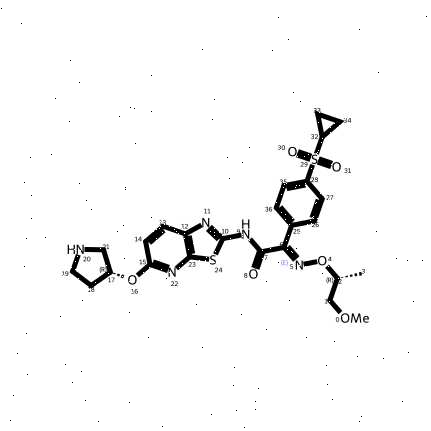 COC[C@@H](C)O/N=C(/C(=O)Nc1nc2ccc(O[C@@H]3CCNC3)nc2s1)c1ccc(S(=O)(=O)C2CC2)cc1